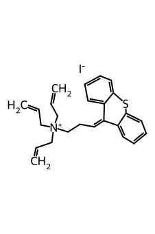 C=CC[N+](CC=C)(CC=C)CCC=C1c2ccccc2Sc2ccccc21.[I-]